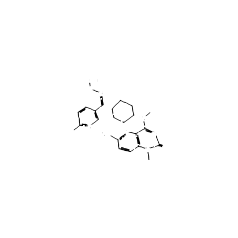 Cn1c(=O)nc(N(C)[C@H]2CC[C@@H](/C(=N/OC(C)(C)C)c3ccc(F)nc3)CC2)c2nc(C#N)ccc21